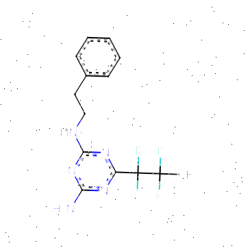 Nc1nc(NCCc2ccccc2)nc(C(F)(F)C(F)(F)C(F)(F)F)n1